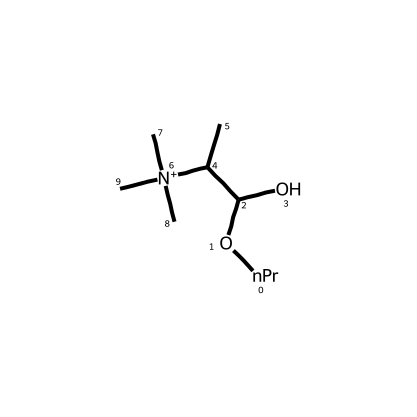 CCCOC(O)C(C)[N+](C)(C)C